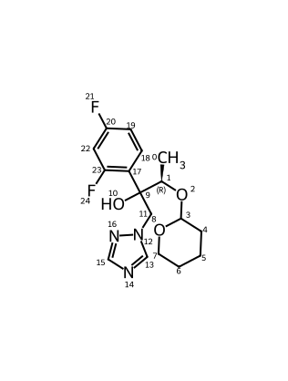 C[C@@H](OC1CCCCO1)C(O)(Cn1cncn1)c1ccc(F)cc1F